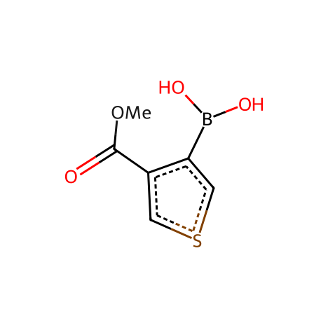 COC(=O)c1cscc1B(O)O